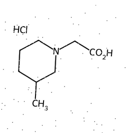 CC1CCCN(CC(=O)O)C1.Cl